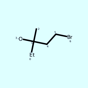 CCC(C)([O])CCBr